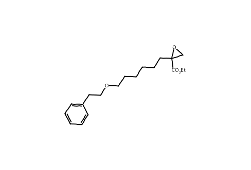 CCOC(=O)C1(CCCCCCOCCc2ccccc2)CO1